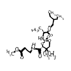 CCC(CC)COC(=O)[C@H](C)NP1(=O)OCC(C)(C)[C@H](C(=O)NCCC(=O)OC)O1